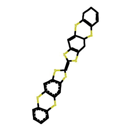 C1=CC2=C(CC1)SC1=CC3=C(CC1S2)SC(=C1Sc2cc4c(cc2S1)Sc1ccccc1S4)S3